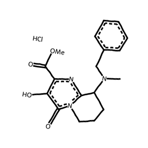 COC(=O)c1nc2n(c(=O)c1O)CCCC2N(C)Cc1ccccc1.Cl